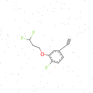 C#Cc1ccc(F)c(OCCC(F)F)c1